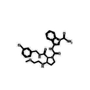 COCCN[C@@H]1CCN(C(=O)Nc2cn(C(N)=O)c3ccccc23)[C@@H]1C(=O)NCc1cccc(Cl)c1